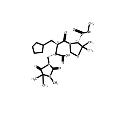 CNC(=O)[C@H]1N(C(=O)[C@H](CC2CCCC2)[C@@H](CN2C(=O)N(C)C(C)(C)C2=O)C(=O)O)CSC1(C)C